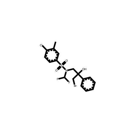 Cc1cc(S(=O)(=O)N(CC(O)(CBr)c2ccccc2)C(F)F)ccc1Cl